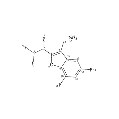 Cc1c([C@@H](F)C(F)F)oc2c(F)cc(F)cc12.N